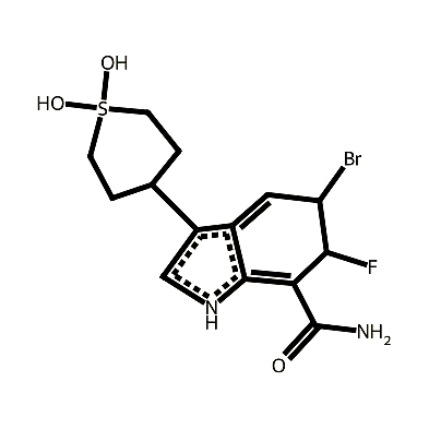 NC(=O)C1=c2[nH]cc(C3CCS(O)(O)CC3)c2=CC(Br)C1F